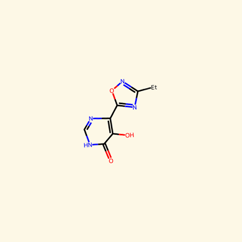 CCc1noc(-c2nc[nH]c(=O)c2O)n1